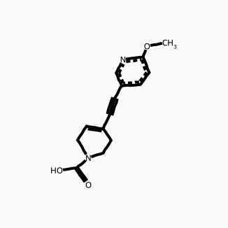 COc1ccc(C#CC2=CCN(C(=O)O)CC2)cn1